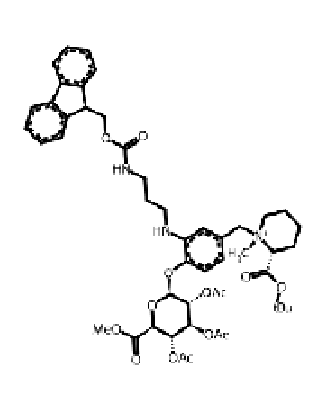 COC(=O)[C@H]1O[C@@H](Oc2ccc(C[N+]3(C)CCCC[C@@H]3C(=O)OC(C)(C)C)cc2NCCCNC(=O)OCC2c3ccccc3-c3ccccc32)[C@H](OC(C)=O)[C@@H](OC(C)=O)[C@@H]1OC(C)=O